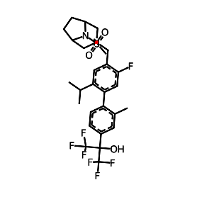 Cc1cc(C(O)(C(F)(F)F)C(F)(F)F)ccc1-c1cc(F)c(CN2CC3CCC(C2)N3S(C)(=O)=O)cc1C(C)C